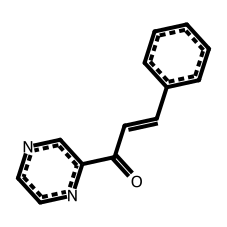 O=C(C=Cc1ccccc1)c1cnccn1